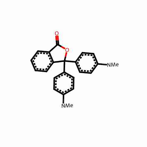 CNc1ccc(C2(c3ccc(NC)cc3)OC(=O)c3ccccc32)cc1